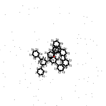 c1ccc(-c2cc(-c3cc(-c4ccccc4)c(-n4c5ccccc5c5ccc6c7ccccc7n(-c7ccccc7)c6c54)c(-c4ccccc4)c3)nc(-c3ccccc3)n2)cc1